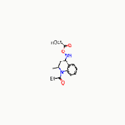 CCCCCCCCC(=O)ONC1CC(C)N(C(=O)CC)c2ccccc21